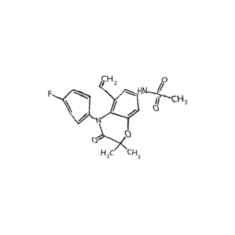 C=Cc1cc(NS(C)(=O)=O)cc2c1N(c1ccc(F)cc1)C(=O)C(C)(C)O2